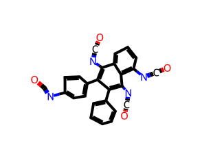 O=C=Nc1ccc(-c2c(-c3ccccc3)c(N=C=O)c3c(N=C=O)cccc3c2N=C=O)cc1